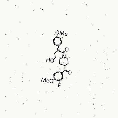 COc1ccc(N(CCO)C(=O)N2CCC(C(=O)c3ccc(OC)c(F)c3)CC2)cc1